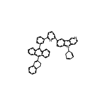 C1=CCC(n2c3ccncc3c3cc(-c4cccc(-c5cccc(-c6c7ccccc7c(C7=Cc8ccccc8CC7)c7ccccc67)c5)n4)ccc32)C=C1